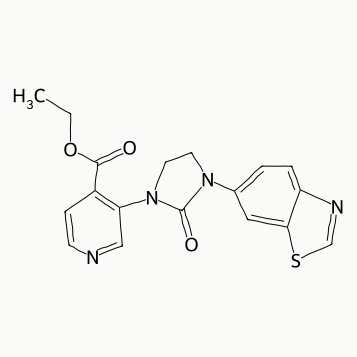 CCOC(=O)c1ccncc1N1CCN(c2ccc3ncsc3c2)C1=O